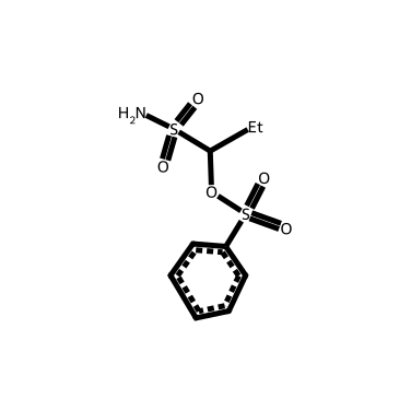 [CH2]CC(OS(=O)(=O)c1ccccc1)S(N)(=O)=O